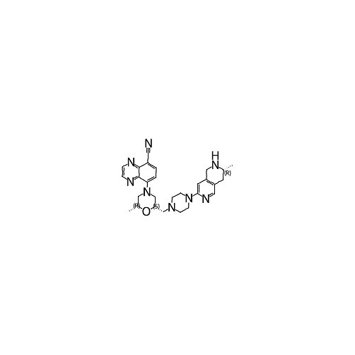 C[C@@H]1Cc2cnc(N3CCN(C[C@H]4CN(c5ccc(C#N)c6nccnc56)C[C@@H](C)O4)CC3)cc2CN1